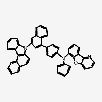 c1ccc(N(c2ccc(-c3cc(-n4c5ccccc5c5c6ccccc6ccc54)cc4ccccc34)cc2)c2cccc3c2oc2cccnc23)cc1